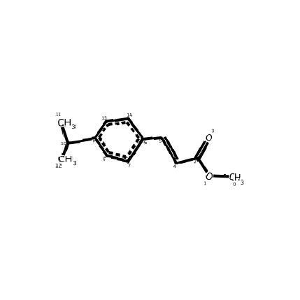 COC(=O)C=Cc1ccc(C(C)C)cc1